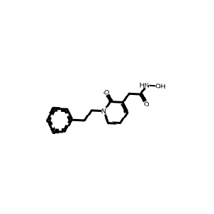 O=C(CC1=CCCN(CCc2ccccc2)C1=O)NO